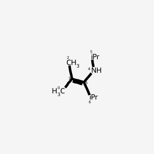 CC(C)=C(NC(C)C)C(C)C